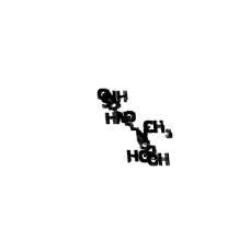 CCCN(CCCCCC(=O)NCCc1ccc2[nH]c(=O)sc2c1)[C@H]1CCc2c(ccc(O)c2O)C1